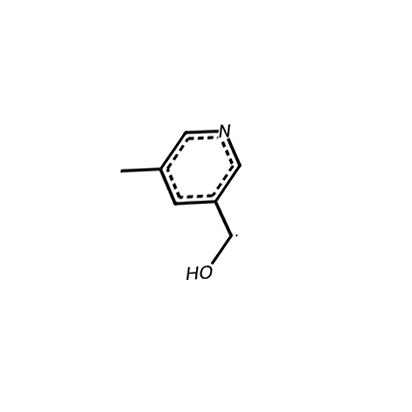 Cc1cncc([CH]O)c1